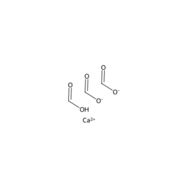 O=CO.O=C[O-].O=C[O-].[Ca+2]